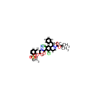 CC(C)(C)OC(=O)N1CCc2c(cc(Cl)c(C(=O)N[C@@H](Cc3cccc(S(C)(=O)=O)c3)C(=O)O)c2Cl)C1Cc1ccccc1